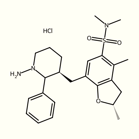 Cc1c(S(=O)(=O)N(C)C)cc(C[C@@H]2CCCN(N)C2c2ccccc2)c2c1C[C@H](C)O2.Cl